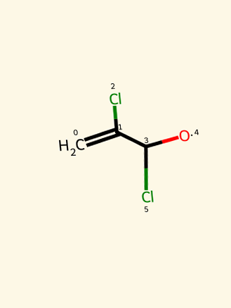 C=C(Cl)C([O])Cl